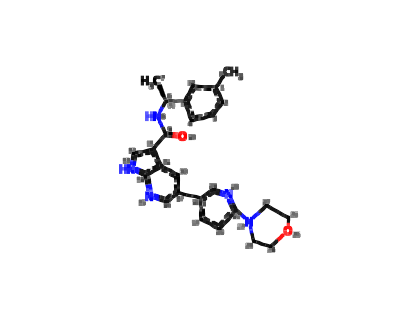 Cc1cccc([C@H](C)NC(=O)c2c[nH]c3ncc(-c4ccc(N5CCOCC5)nc4)cc23)c1